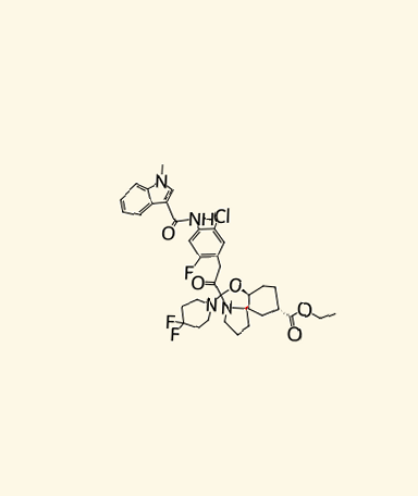 CCOC(=O)[C@H]1CC[C@H](OC(C(=O)Cc2cc(Cl)c(NC(=O)c3cn(C)c4ccccc34)cc2F)(N2CCCC2)N2CCC(F)(F)CC2)CC1